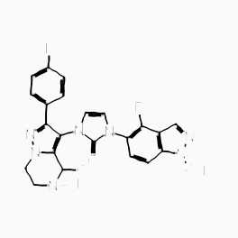 CC1NCCn2nc(-c3ccc(F)cc3)c(-n3ccn(-c4ccc5c(cnn5C)c4F)c3=O)c21